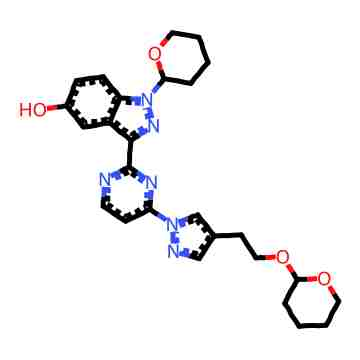 Oc1ccc2c(c1)c(-c1nccc(-n3cc(CCOC4CCCCO4)cn3)n1)nn2C1CCCCO1